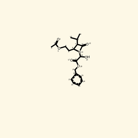 CC(=O)OCCC1C(C(C)C)C(=O)N1C(O)C(=O)OCc1ccccc1